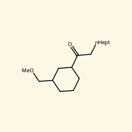 CCCCCCCCC(=O)C1CCCC(COC)C1